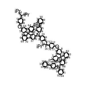 Cc1ccc(C2(c3ccc(Oc4ccc(C(C)(Cc5ccc(N(c6ccc(-c7ccccc7)cc6)c6ccc7c(c6)C(c6ccc(Oc8ccc(C(CC(C)C)C(C)C)cc8)cc6)(c6ccc(C(C)(C)C)cc6)c6ccccc6-7)cc5)CC(C)C)cc4)cc3)c3ccccc3-c3ccc(N(c4ccccc4)c4ccc(-c5ccccc5)cc4)cc32)cc1